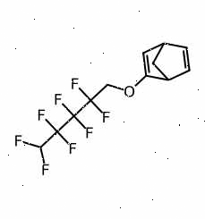 FC(F)C(F)(F)C(F)(F)C(F)(F)COC1=CC2C=CC1C2